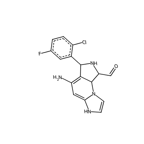 NC1=C2C(c3cc(F)ccc3Cl)NC(C=O)C2N2C=CNC2=C1